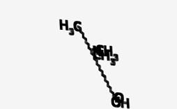 CCCCCCCCCC(CCCCCCCCC=CCCCCCCCC(=O)O)CN(C)C